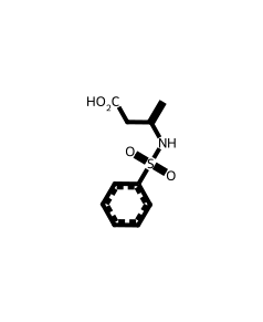 C=C(CC(=O)O)NS(=O)(=O)c1ccccc1